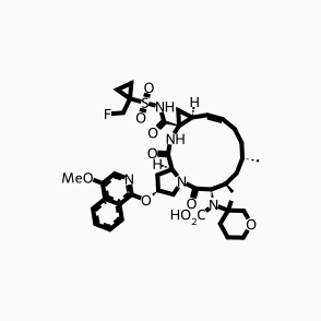 COc1cnc(O[C@@H]2C[C@H]3C(=O)N[C@]4(C(=O)NS(=O)(=O)C5(CF)CC5)C[C@H]4C=CCC[C@H](C)C[C@@H](C)[C@H](N(C(=O)O)C4(C)CCCOC4)C(=O)N3C2)c2ccccc12